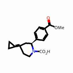 COC(=O)c1ccc([C@@H]2CC(=C3CC3)CCN2C(=O)O)cc1